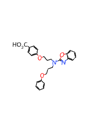 O=C(O)c1ccc(OCCCN(CCCOc2ccccc2)c2nc3ccccc3o2)cc1